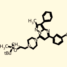 Cc1nn2c(N3CCN(CCO[Si](C)(C)C(C)(C)C)CC3)cc(-c3cccc(I)c3)nc2c1-c1ccccc1